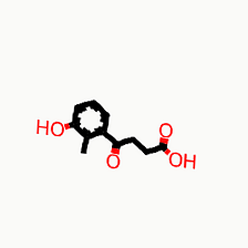 Cc1c(O)cccc1C(=O)CCC(=O)O